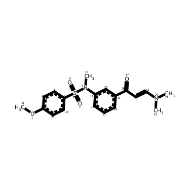 COc1ccc(S(=O)(=O)N(C)c2cccc(C(=O)/C=C/N(C)C)c2)cc1